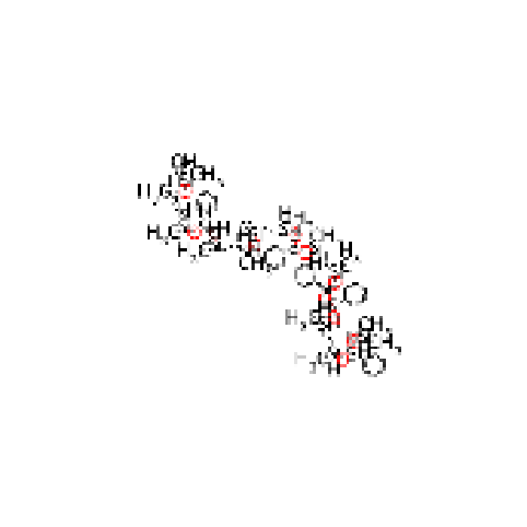 C=C[SiH](C)O[SiH](C)CC[SiH](C)O[SiH](O[SiH](C)CC[SiH](C)O[SiH](C)CC[SiH](C)O[SiH](O[SiH](C)CC[SiH](C)O[SiH](O[SiH](O[SiH](C)CC[SiH](C)O[SiH](O[SiH](C)C)c1ccccc1)c1ccccc1)c1ccccc1)c1ccccc1)c1ccccc1